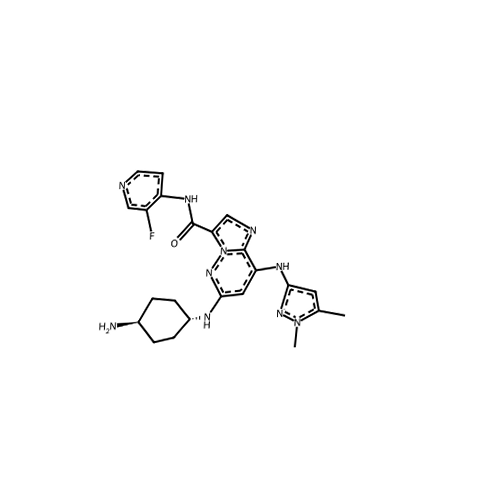 Cc1cc(Nc2cc(N[C@H]3CC[C@H](N)CC3)nn3c(C(=O)Nc4ccncc4F)cnc23)nn1C